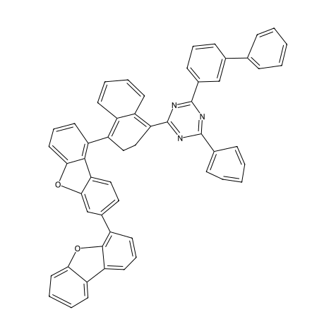 c1ccc(-c2cccc(-c3nc(C4=c5ccccc5=C(c5cccc6oc7cc(-c8cccc9c8oc8ccccc89)ccc7c56)CC4)nc(-c4ccccc4)n3)c2)cc1